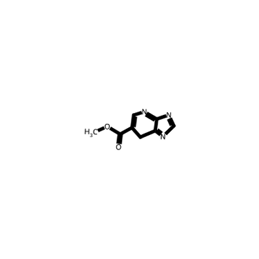 COC(=O)C1=CN=C2N=CN=C2C1